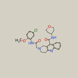 COc1ccc(Cl)cc1NC(=O)CN1CCc2nc3ccccc3c(C(=O)NC3CCOCC3)c2C1